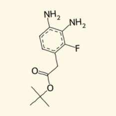 CC(C)(C)OC(=O)Cc1ccc(N)c(N)c1F